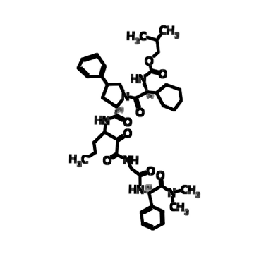 CCCC(NC(=O)[C@@H]1CC(c2ccccc2)CN1C(=O)[C@@H](NC(=O)OCC(C)C)C1CCCCC1)C(=O)C(=O)NCC(=O)N[C@H](C(=O)N(C)C)c1ccccc1